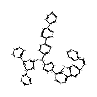 c1ccc(-c2ccc(-c3ccc(N(c4ccc(-c5cccc6c5sc5c6ccc6ccc7ccccc7c65)cc4)c4cc(-c5ccccc5)cc(-c5ccccc5)c4)cc3)cc2)cc1